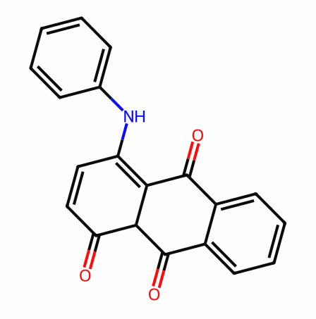 O=C1C2=C(Nc3ccccc3)C=CC(=O)C2C(=O)c2ccccc21